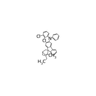 CCC1CC2CC3(c4ccccc4-c4cc(N(c5ccccc5)c5cccc(Cl)c5Cl)ccc43)C1(C)C2